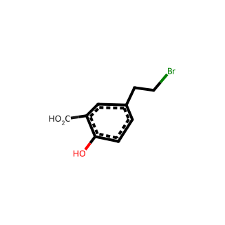 O=C(O)c1cc(CCBr)ccc1O